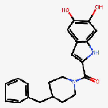 O=C(c1cc2cc(O)c(O)cc2[nH]1)N1CCC(Cc2ccccc2)CC1